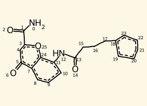 NC(=O)c1cc(=O)c2cccc(NC(=O)CCCc3ccccc3)c2o1